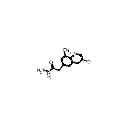 Cc1cc(CC(=O)NN)cc2cc(Cl)cnc12